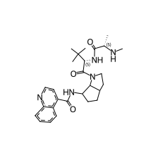 CN[C@@H](C)C(=O)N[C@H](C(=O)N1CCC2CCC(NC(=O)c3ccnc4ccccc34)C21)C(C)(C)C